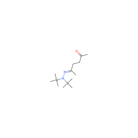 CC(=O)CC/C(C)=N/N([Si](C)(C)C)[Si](C)(C)C